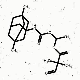 CC(OC(=O)NC12CC3CC(C)(CC(C)(C3)C1)C2)OC(=O)C(C)(C)C=O